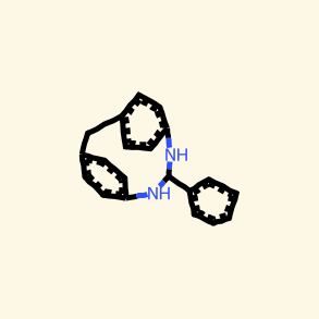 c1ccc(C2Nc3ccc(cc3)Cc3ccc(cc3)N2)cc1